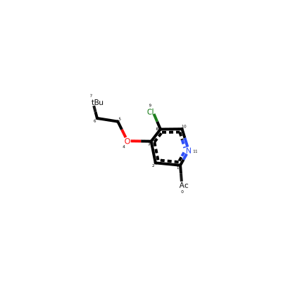 CC(=O)c1cc(OCCC(C)(C)C)c(Cl)cn1